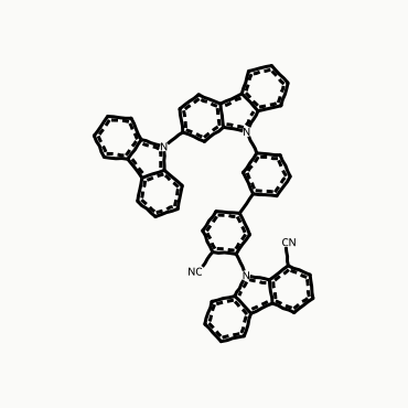 N#Cc1ccc(-c2cccc(-n3c4ccccc4c4ccc(-n5c6ccccc6c6ccccc65)cc43)c2)cc1-n1c2ccccc2c2cccc(C#N)c21